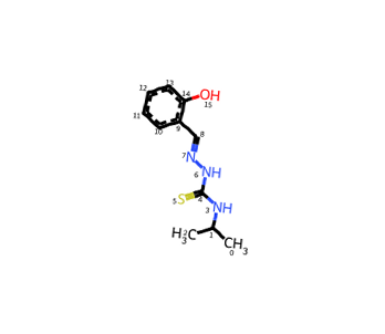 CC(C)NC(=S)N/N=C/c1ccccc1O